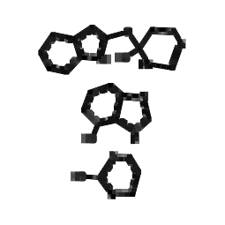 OC1(Oc2cc3ccccc3[nH]2)C=CN=CN1.Oc1cccc2nc[nH]c12.Oc1ncccn1